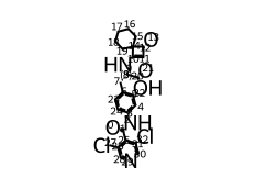 O=C(Nc1ccc(C[C@H](NC2=CC(=O)C23CCCCC3)C(=O)O)cc1)c1c(Cl)cncc1Cl